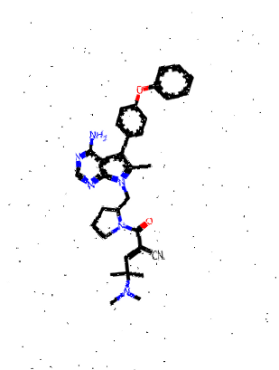 Cc1c(-c2ccc(Oc3ccccc3)cc2)c2c(N)ncnc2n1CC1CCCN1C(=O)C(C#N)=CC(C)(C)N(C)C